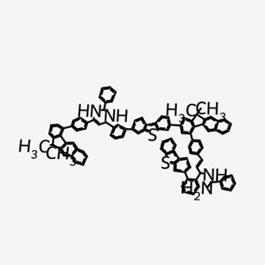 CC1(C)c2cc3ccccc3cc2-c2c(-c3ccc(C4=CC(c5cccc(-c6ccc7c(c6)sc6cc(-c8cc(-c9ccc(/C=C/C(NC(N)c%10ccccc%10)c%10ccccc%10-c%10ccc%11c(c%10)sc%10ccccc%10%11)cc9)c9c(c8)C(C)(C)c8cc%10ccccc%10cc8-9)ccc67)c5)NC(c5ccccc5)N4)cc3)cccc21